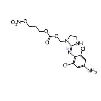 Nc1cc(Cl)c(/N=C2\NCCN2COC(=O)OCCCO[N+](=O)[O-])c(Cl)c1